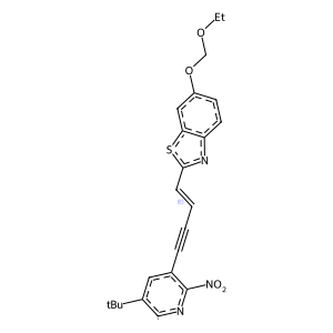 CCOCOc1ccc2nc(/C=C/C#Cc3cc(C(C)(C)C)[c]nc3[N+](=O)[O-])sc2c1